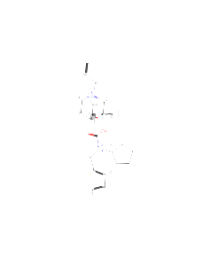 C=CC[N+]12CCC(CC1)[C@@H](OC(=O)N(Cc1cccs1)C1CCCC1)C2